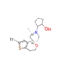 CCc1cc2c(s1)CCO[C@@]21CCN(C2CCCC2O)[C@@H](C)C1